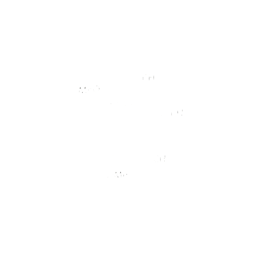 COc1cc(OC)c(C)c(C)c1C